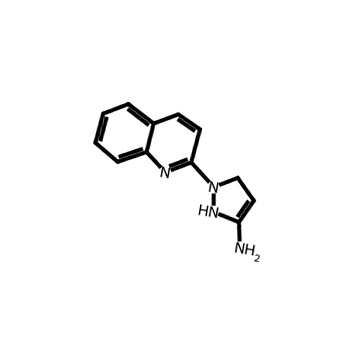 NC1=CCN(c2ccc3ccccc3n2)N1